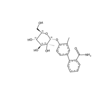 Cc1cc(-c2ccccc2C(N)=O)ccc1O[C@H]1O[C@H](CO)[C@@H](O)[C@H](O)[C@]1(C)O